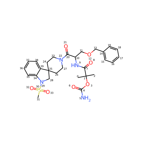 CC(C)(OC(N)=O)C(=O)NC(COCc1ccccc1)C(=O)N1CCC2(CC1)CN(S(C)(=O)=O)c1ccccc12